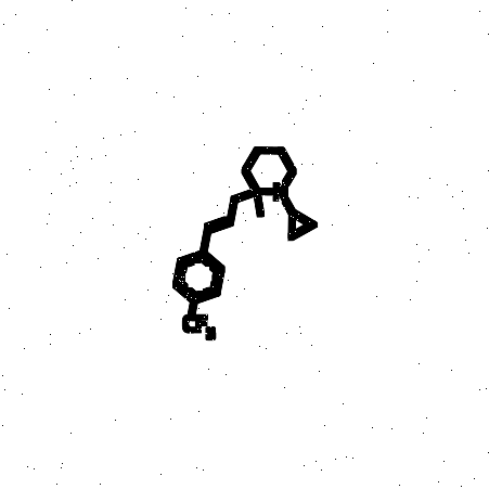 CC1(CC=Cc2ccc(C(F)(F)F)cc2)CCCCN1C1CC1